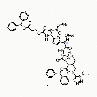 CO/N=C(/C(=O)N[C@@H]1C(=O)N2C(C(=O)OC(c3ccccc3)c3ccccc3)=C(CSc3nnnn3C)CS[C@H]12)c1ccc(C(NC(=O)OCCC(=O)OC(c2ccccc2)c2ccccc2)NC(=O)OC(C)(C)C)o1